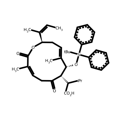 C/C=C(/C)[C@H]1C/C=C(\C)[C@H](O[Si](c2ccccc2)(c2ccccc2)C(C)(C)C)[C@H](C(C(=O)O)C(C)C)C(=O)C/C=C(/C)C(=O)O1